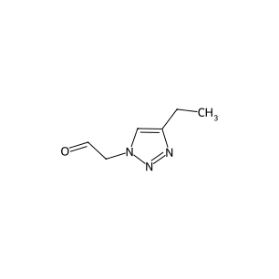 CCc1cn(CC=O)nn1